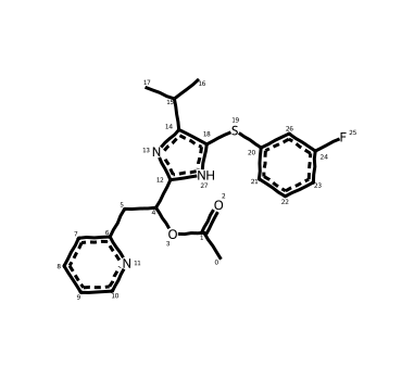 CC(=O)OC(Cc1ccccn1)c1nc(C(C)C)c(Sc2cccc(F)c2)[nH]1